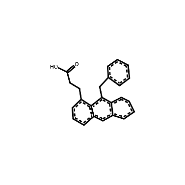 O=C(O)CCc1cccc2cc3ccccc3c(Cc3ccccc3)c12